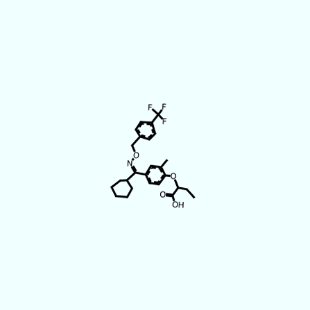 CCC(Oc1ccc(/C(=N\OCc2ccc(C(F)(F)F)cc2)C2CCCCC2)cc1C)C(=O)O